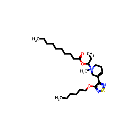 CCCCCCCCCC(=O)OC(CC)[N+]1(C)CCC=C(c2nsnc2OCCCCCC)C1.[I-]